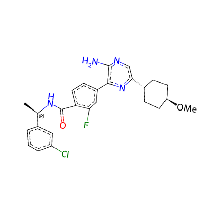 CO[C@H]1CC[C@H](c2cnc(N)c(-c3ccc(C(=O)N[C@H](C)c4cccc(Cl)c4)c(F)c3)n2)CC1